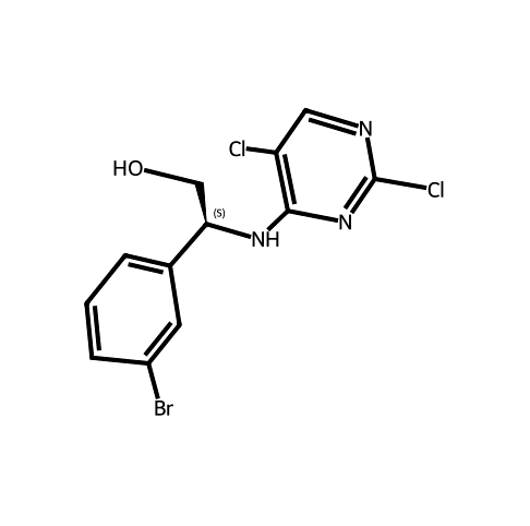 OC[C@@H](Nc1nc(Cl)ncc1Cl)c1cccc(Br)c1